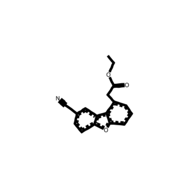 CCOC(=O)Cc1cccc2oc3ccc(C#N)cc3c12